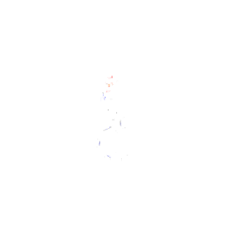 CCCCC/C=C\C/C=C\C/C=C\C/C=C\CCCCNC(C)OP(=O)(O)O